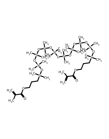 C=C(C)C(=O)OCCC[Si](C)(C)O[Si](C)(C)O[Si](C)(C)O[Si](C)(C)O[Si](C)(C)O[Si](C)(C)O[Si](C)(C)O[Si](C)(C)O[Si](C)(C)O[Si](C)(C)CCCOC(=O)C(=C)C